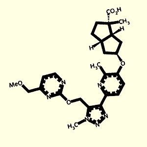 COCc1ccnc(OCc2c(-c3ccc(O[C@H]4C[C@@H]5CC[C@](C)(C(=O)O)[C@@H]5C4)c(C)n3)nnn2C)n1